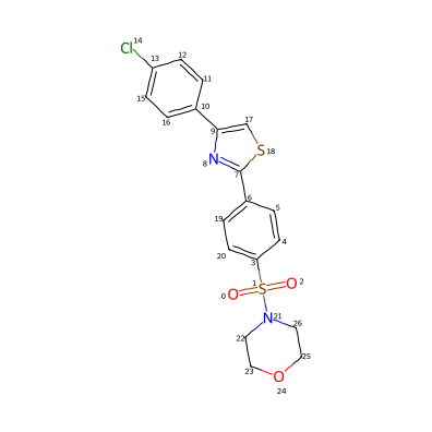 O=S(=O)(c1ccc(-c2nc(-c3ccc(Cl)cc3)cs2)cc1)N1CCOCC1